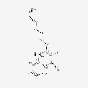 CC1=C(CCCC/C=C/C(C)C)NC2=CC#CCC2C1=O